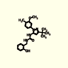 COc1cc(-n2nc(C(C)(C)C)cc2NC(=O)NCc2ccccc2O)ccc1C